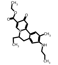 CCCNc1cc2c(cc1C)-c1cc(=O)c(C(=O)OCC)cn1C(CC)C2